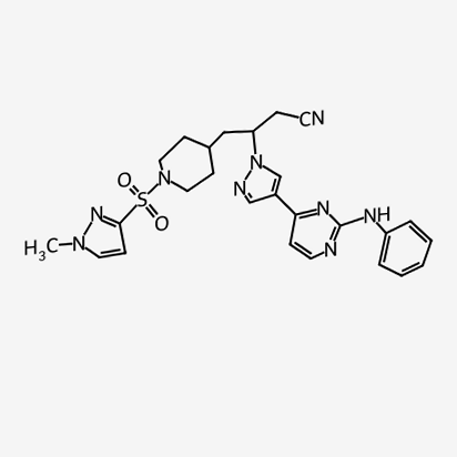 Cn1ccc(S(=O)(=O)N2CCC(CC(CC#N)n3cc(-c4ccnc(Nc5ccccc5)n4)cn3)CC2)n1